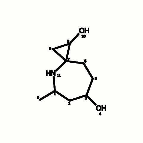 CC1CC(O)CCC2(CC2O)N1